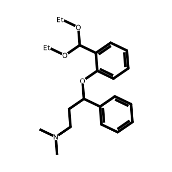 CCOC(OCC)c1ccccc1OC(CCN(C)C)c1ccccc1